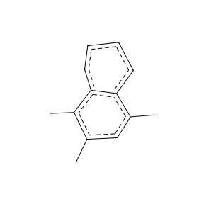 Cc1cc(C)c2ccccc2c1C